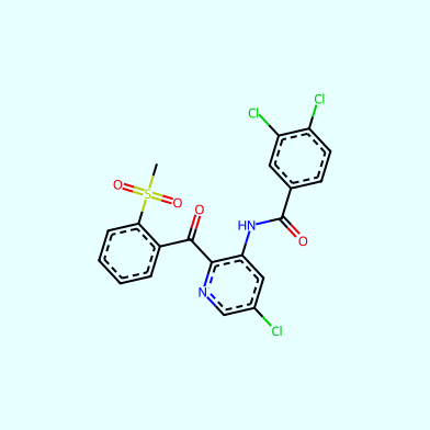 CS(=O)(=O)c1ccccc1C(=O)c1ncc(Cl)cc1NC(=O)c1ccc(Cl)c(Cl)c1